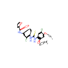 COc1cc(OC)c(NC(=S)Nc2ccc(NC(=O)c3ccco3)cc2Cl)cc1Cl